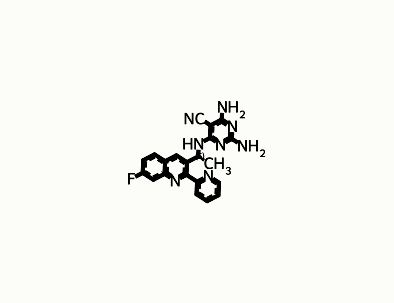 C[C@H](Nc1nc(N)nc(N)c1C#N)c1cc2ccc(F)cc2nc1-c1ccccn1